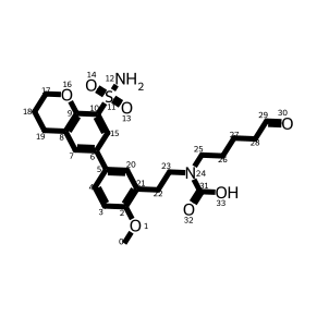 COc1ccc(-c2cc3c(c(S(N)(=O)=O)c2)OCCC3)cc1CCN(CCCCC=O)C(=O)O